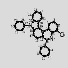 Clc1cccc2c1nc(-c1ccccc1)c1ccc3c(c4ccccc4n3-c3ccccc3)c12